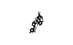 Cc1ccc(OC2CC3CC2N(C(=O)c2nccc(C)c2-c2ncc(F)cn2)C3)nc1